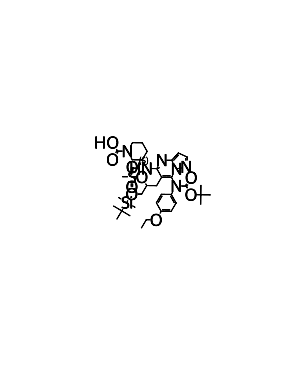 CCOc1ccc(N(C(=O)OC(C)(C)C)c2c(CC(CO[Si](C)(C)C(C)(C)C)OS(C)(=O)=O)c(N[C@H]3CCCN(C(=O)O)C3)nc3ccnn23)cc1